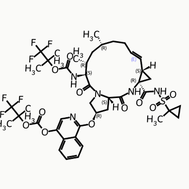 C[C@@H]1CC/C=C/[C@@H]2C[C@@]2(C(=O)NS(=O)(=O)C2(C)CC2)NC(=O)[C@@H]2C[C@@H](Oc3ncc(OC(=O)OC(C)(C)C(F)(F)F)c4ccccc34)CN2C(=O)[C@@H](NC(=O)OC(C)(C)C(F)(F)F)[C@H](C)C1